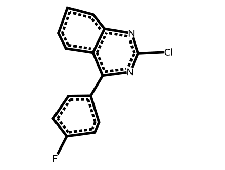 Fc1ccc(-c2nc(Cl)nc3ccccc23)cc1